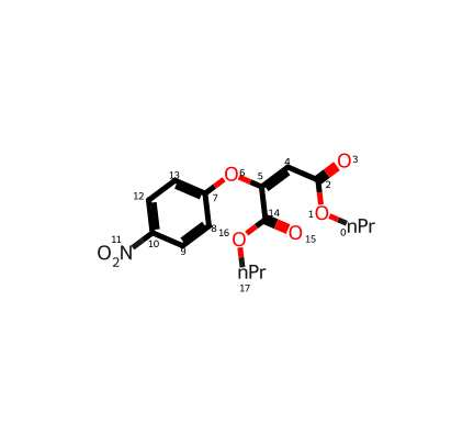 CCCOC(=O)C=C(Oc1ccc([N+](=O)[O-])cc1)C(=O)OCCC